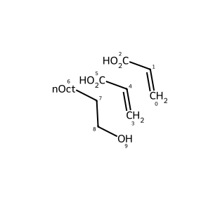 C=CC(=O)O.C=CC(=O)O.CCCCCCCCCCO